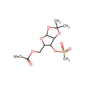 COC(=O)OCC1OC2OC(C)(C)OC2C1OS(C)(=O)=O